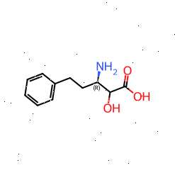 N[C@H](CCc1ccccc1)C(O)C(=O)O